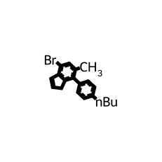 CCCCc1ccc(-c2c(C)cc(Br)c3c2CC=C3)cc1